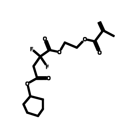 C=C(C)C(=O)OCCOC(=O)C(F)(F)CC(=O)OC1CCCCC1